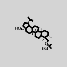 C=C(C)[C@@H]1CC[C@]2(CO)CC[C@]3(C)C(CCC4[C@@]5(C)CC[C@H](C)[C@@](C)(CO[Si](C)(C)C(C)(C)C)C5CC[C@]43C)C12